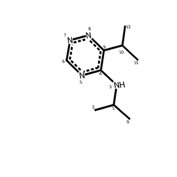 CC(C)Nc1ncnnc1C(C)C